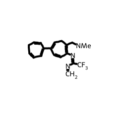 C=N/C(=N\C1=C(CNC)CC=C(C2=CC=CCC=C2)C=C1)C(F)(F)F